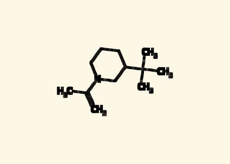 C=C(C)N1CCCC(C(C)(C)C)C1